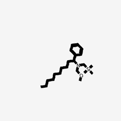 CCCCCCCCCC(c1ccccc1)N(COC)C[Si](C)(C)C